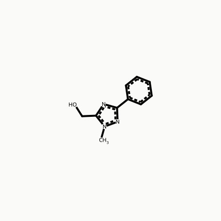 Cn1nc(-c2ccccc2)nc1CO